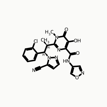 C[C@@H](c1nc(C(=O)Nc2cnoc2)c(O)c(=O)n1C)[C@H](c1ccccc1Cl)n1nccc1C#N